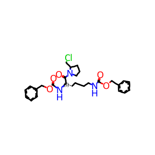 O=C(NCCCC[C@H](NC(=O)OCc1ccccc1)C(=O)N1CCCC1CCl)OCc1ccccc1